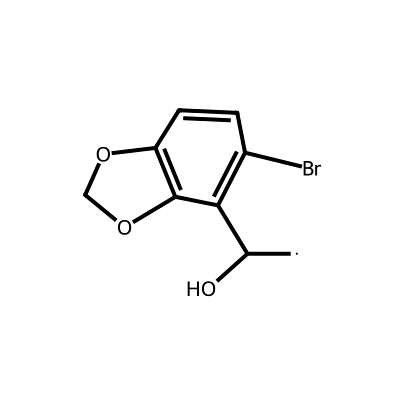 [CH2]C(O)c1c(Br)ccc2c1OCO2